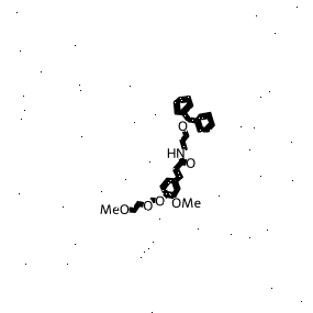 COCCOCOc1ccc(/C=C/C(=O)NCCCOC(c2ccccc2)c2ccccc2)cc1OC